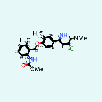 CNC/C(Cl)=C\C(=N)c1ccc(OCc2c(C)cccc2NC(=O)OC)c(C)c1